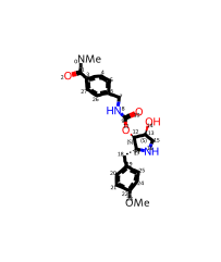 CNC(=O)c1ccc(CNC(=O)O[C@@H]2[C@@H](O)CN[C@@H]2Cc2ccc(OC)cc2)cc1